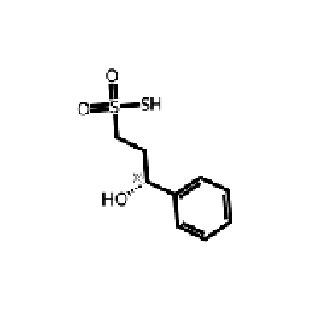 O=S(=O)(S)CC[C@@H](O)c1ccccc1